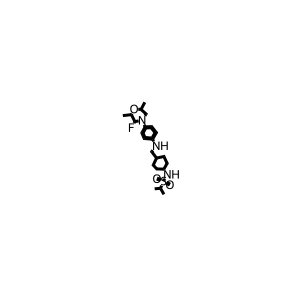 CC1CN(c2ccc(NCC3CCC(NS(=O)(=O)C(C)C)CC3)cc2)C(F)C(C)O1